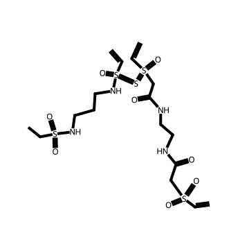 C=CS(=O)(=O)CC(=O)NCCNC(=O)CS(=O)(C=C)=S=S(=O)(C=C)NCCCNS(=O)(=O)CC